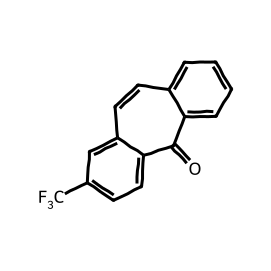 O=c1c2ccccc2ccc2cc(C(F)(F)F)ccc12